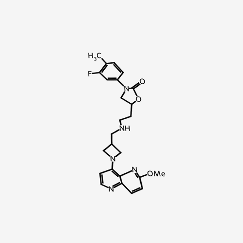 COc1ccc2nccc(N3CC(CNCCC4CN(c5ccc(C)c(F)c5)C(=O)O4)C3)c2n1